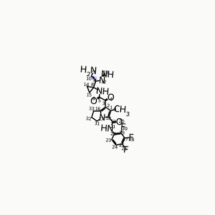 Cc1c(C(=O)C(=O)NC2(/C(=C/N)N=N)CC2)c2n(c1C(=O)Nc1ccc(F)c(F)c1F)CCC2